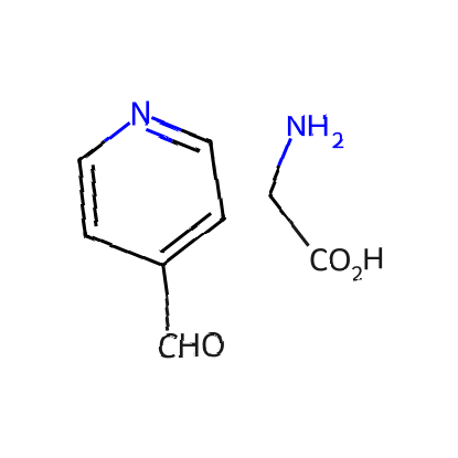 NCC(=O)O.O=Cc1ccncc1